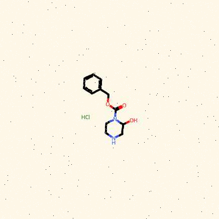 Cl.O=C(OCc1ccccc1)N1CCNCC1O